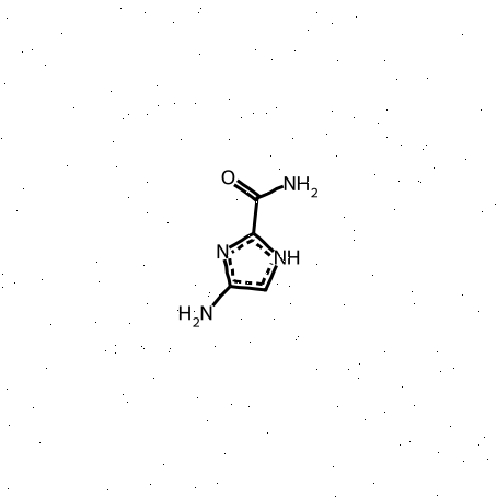 NC(=O)c1nc(N)c[nH]1